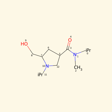 CC(C)N(C)C(=O)C1CC(CO)N(C(C)C)C1